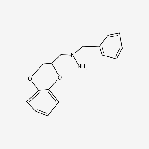 NN(Cc1ccccc1)CC1COc2ccccc2O1